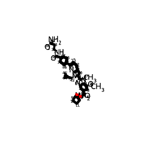 COc1cc(C(=O)N2CC3CCC2[C@@H]3N)cc2nc(-c3cc4ccc(-c5ccc(C(=O)NCCC(N)=O)cc5)nc4n3CC3CC3)n(C)c12